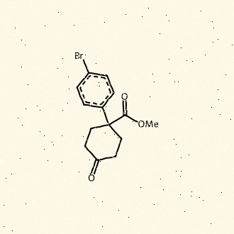 COC(=O)C1(c2ccc(Br)cc2)CCC(=O)CC1